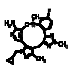 Cc1nn(CC2CC2)c2c1Cc1nn(C)nc1-c1ccc(F)cc1[C@@H](C)Oc1nc-2cnc1N